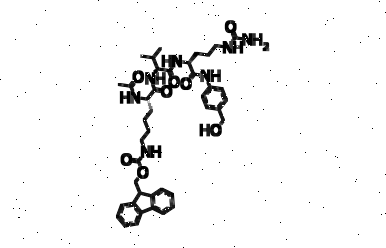 CC(=O)N[C@@H](CCCCNC(=O)OCC1c2ccccc2-c2ccccc21)C(=O)N[C@H](C(=O)N[C@@H](CCCNC(N)=O)C(=O)Nc1ccc(CO)cc1)C(C)C